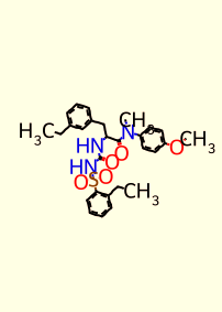 CCc1cccc(CC(NC(=O)NS(=O)(=O)c2ccccc2CC)C(=O)N(C)c2ccc(OC)cc2)c1